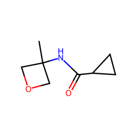 CC1(NC(=O)C2CC2)COC1